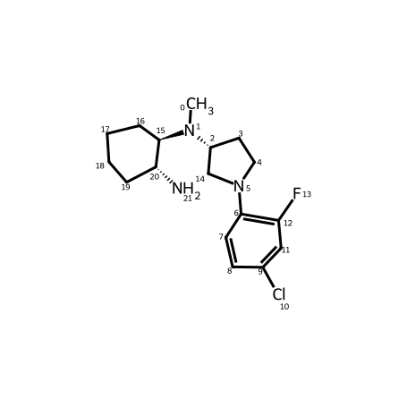 CN([C@@H]1CCN(c2ccc(Cl)cc2F)C1)[C@@H]1CCCC[C@H]1N